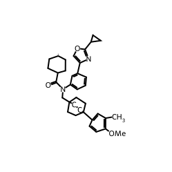 COc1ccc(C23CCC(CN(C(=O)C4CC[CH]CC4)c4cccc(-c5coc(C6CC6)n5)c4)(CC2)CC3)cc1C